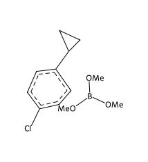 COB(OC)OC.Clc1ccc(C2CC2)cc1